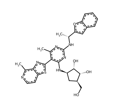 Cc1nc(N[C@H](C)c2cc3ccccc3o2)nc(N[C@@H]2C[C@H](CO)[C@@H](O)[C@H]2O)c1-c1nc2c(C)nccc2s1